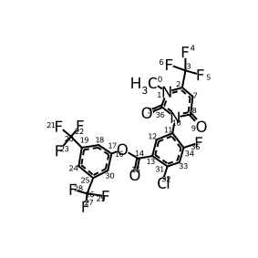 Cn1c(C(F)(F)F)cc(=O)n(-c2cc(C(=O)Oc3cc(C(F)(F)F)cc(C(F)(F)F)c3)c(Cl)cc2F)c1=O